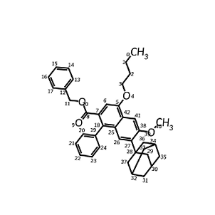 CCCCOc1cc(C(=O)OCc2ccccc2)c(-c2ccccc2)c2cc(C34CC5CC(CC(C5)C3)C4)c(OC)cc12